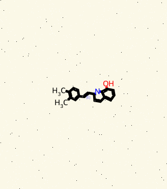 Cc1ccc(/C=C/c2ccc3cccc(O)c3n2)cc1C